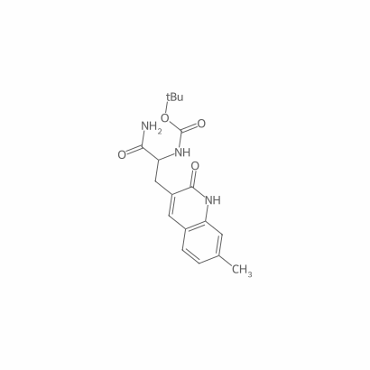 Cc1ccc2cc(CC(NC(=O)OC(C)(C)C)C(N)=O)c(=O)[nH]c2c1